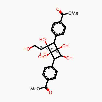 COC(=O)c1ccc(C2C(O)[C@@]3(O)C(c4ccc(C(=O)OC)cc4)[C@@](O)([C@H](O)CO)[C@@]23O)cc1